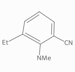 CCc1cccc(C#N)c1NC